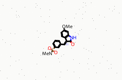 CNS(=O)(=O)c1cccc(/C=C2/C(=O)Nc3cc(OC)ccc32)c1